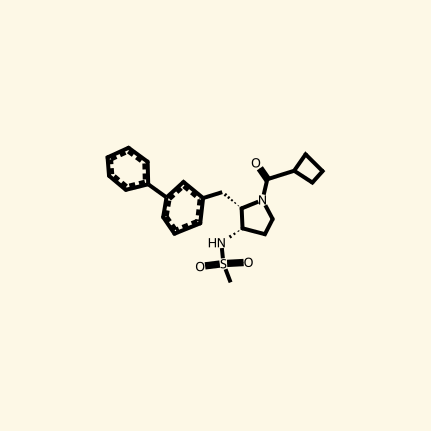 CS(=O)(=O)N[C@H]1CCN(C(=O)C2CCC2)[C@H]1Cc1cccc(-c2ccccc2)c1